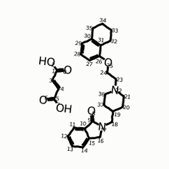 O=C(O)C=CC(=O)O.O=C1c2ccccc2CN1CC1CCN(CCOc2cccc3c2CCCC3)CC1